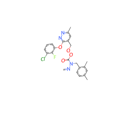 C=NN(Cc1ccc(C)cc1C)C(=O)OOCc1cc(C)nnc1Oc1cccc(Cl)c1F